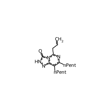 C=CCc1nc(CCCCC)c(CCCCC)c2n[nH]c(=O)n12